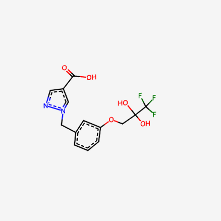 O=C(O)c1cnn(Cc2cccc(OCC(O)(O)C(F)(F)F)c2)c1